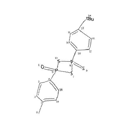 Cc1ccc(P2(=O)SP(=S)(c3ccc(C(C)(C)C)cc3)S2)cc1